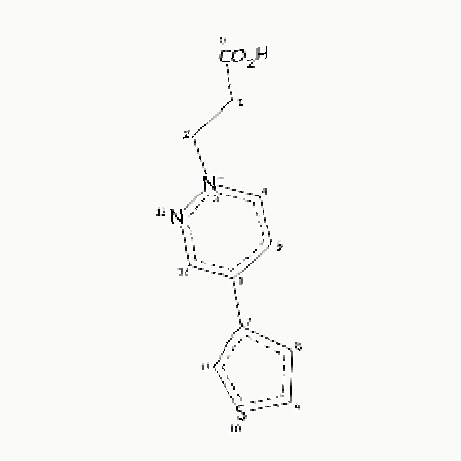 O=C(O)CC[n+]1ccc(-c2ccsc2)cn1